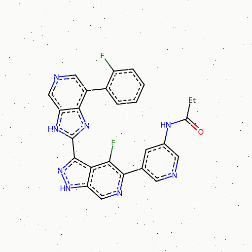 CCC(=O)Nc1cncc(-c2ncc3[nH]nc(-c4nc5c(-c6ccccc6F)cncc5[nH]4)c3c2F)c1